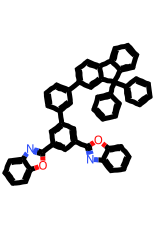 c1ccc(C2(c3ccccc3)c3ccccc3-c3ccc(-c4cccc(-c5cc(-c6nc7ccccc7o6)cc(-c6nc7ccccc7o6)c5)c4)cc32)cc1